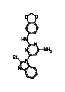 CCc1nc2ccccc2n1-c1cc(N)nc(Nc2ccc3c(c2)OCO3)n1